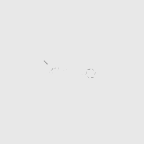 C#CC(=O)OCCCCOc1ccccc1C